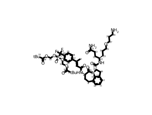 C/C(=C\C(=O)N[C@H]1CCc2cccc3c2N(C1=O)[C@H](C(=O)N[C@H](CCCOCCCN)CCC(N)=O)C3)c1ccc(C(F)(F)P(=O)(OCOC(=O)C(C)(C)C)OCOC(=O)C(C)(C)C)cc1